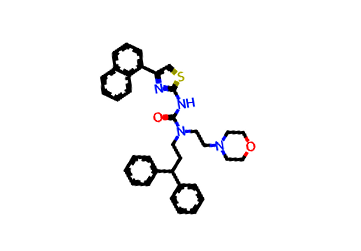 O=C(Nc1nc(-c2cccc3ccccc23)cs1)N(CCC(c1ccccc1)c1ccccc1)CCN1CCOCC1